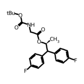 C[C@H](OC(=O)CNC(=O)OC(C)(C)C)C(c1ccc(F)cc1)c1ccc(F)cc1